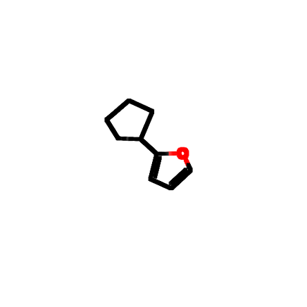 c1coc(C2CCCC2)c1